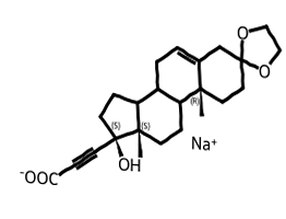 C[C@]12CCC3(CC1=CCC1C2CC[C@@]2(C)C1CC[C@@]2(O)C#CC(=O)[O-])OCCO3.[Na+]